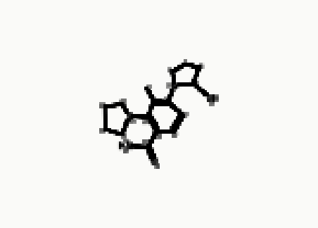 Cc1c(N2CCCC2O)ccc(C(N)=O)c1N1CCCC1